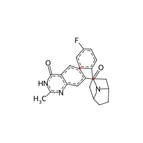 Cc1nc2cc(C(=O)N3C4CCC3CC(c3ccc(F)cc3)C4)ccc2c(=O)[nH]1